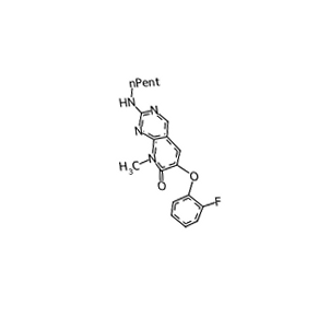 CCCCCNc1ncc2cc(Oc3ccccc3F)c(=O)n(C)c2n1